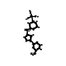 Nc1cc(-c2csc(Nc3cccc(C(F)(F)F)c3)n2)ccn1